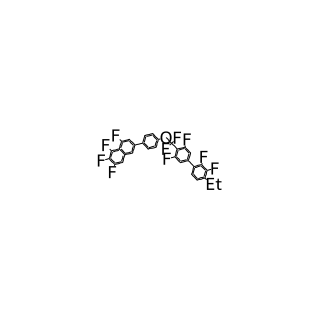 CCc1ccc(-c2cc(F)c(C(F)(F)Oc3ccc(-c4cc(F)c5c(F)c(F)c(F)cc5c4)cc3)c(F)c2)c(F)c1F